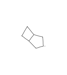 [CH]1CC2CCC2C1